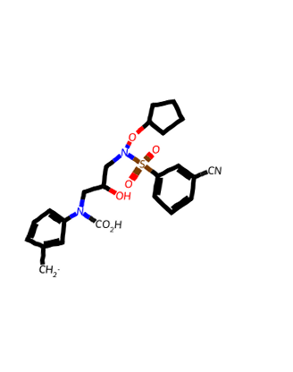 [CH2]c1cccc(N(CC(O)CN(OC2CCCC2)S(=O)(=O)c2cccc(C#N)c2)C(=O)O)c1